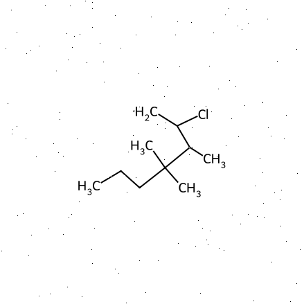 [CH2]C(Cl)C(C)C(C)(C)CCC